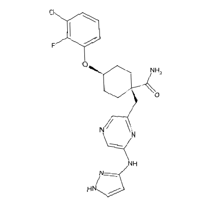 NC(=O)[C@]1(Cc2cncc(Nc3cc[nH]n3)n2)CC[C@@H](Oc2cccc(Cl)c2F)CC1